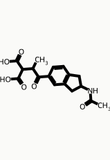 CC(=O)NC1Cc2ccc(C(=O)C(C)C(C(=O)O)C(=O)O)cc2C1